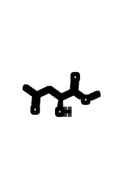 COC(=O)[C@@H](O)CC(C)=O